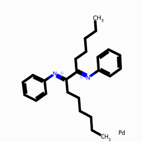 CCCCCCC(=N\c1ccccc1)/C(CCCCC)=N/c1ccccc1.[Pd]